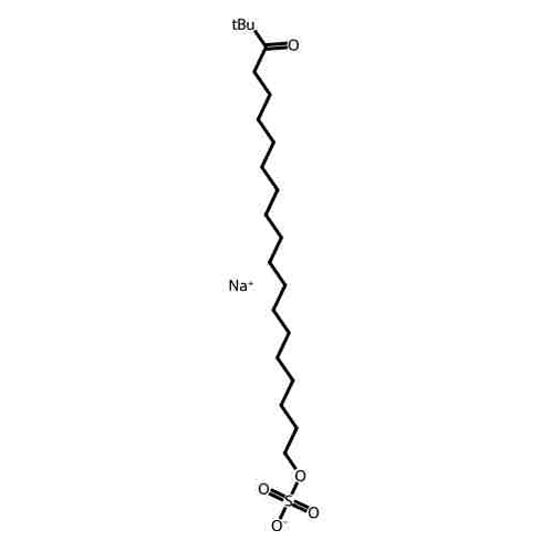 CC(C)(C)C(=O)CCCCCCCCCCCCCCCCCOS(=O)(=O)[O-].[Na+]